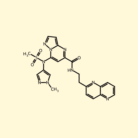 Cn1cc(N(c2cc(C(=O)NCCc3ccc4ncccc4n3)nc3ccnn23)S(C)(=O)=O)cn1